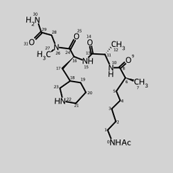 CC(=O)NCCCCC[C@H](C)C(=O)N[C@@H](C)C(=O)N[C@@H](CC1CCCNC1)C(=O)N(C)CC(N)=O